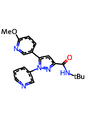 COc1ccc(-c2cc(C(=O)NC(C)(C)C)nn2-c2cccnc2)cn1